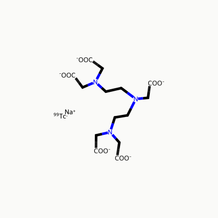 O=C([O-])CN(CCN(CC(=O)[O-])CC(=O)[O-])CCN(CC(=O)[O-])CC(=O)[O-].[99Tc].[Na+]